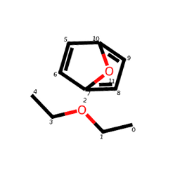 CCOCC.c1cc2ccc1o2